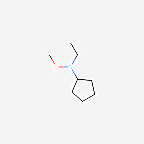 CCN(OC)C1CCCC1